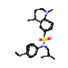 CCc1ccc(N(CC(C)C)S(=O)(=O)c2ccc3c(c2)C(C)CCN3C)cc1